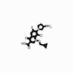 NC1CCN(c2c(F)cc3c(=O)c(C(=O)O)cn(OCC4CC4)c3c2Cl)C1